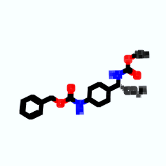 CC(C)(C)OC(=O)N[C@H](C(=O)O)C1CCC(NC(=O)OCc2ccccc2)CC1